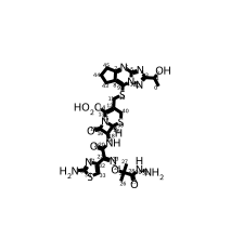 CC(O)c1nc2nc3c(c(SCC4=C(C(=O)O)N5C(=O)C(NC(=O)C(=NOC(C)(C)C(=O)NN)c6csc(N)n6)[C@@H]5SC4)n2n1)CCC3